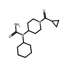 NC(=O)N(C1CCCCC1)C1CCN(C(=O)C2CC2)CC1